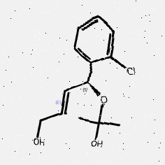 CC(C)(O)O[C@@H](/C=C/CO)c1ccccc1Cl